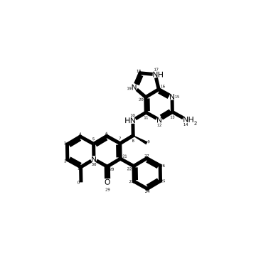 Cc1cccc2cc([C@H](C)Nc3nc(N)nc4[nH]cnc34)c(-c3ccccc3)c(=O)n12